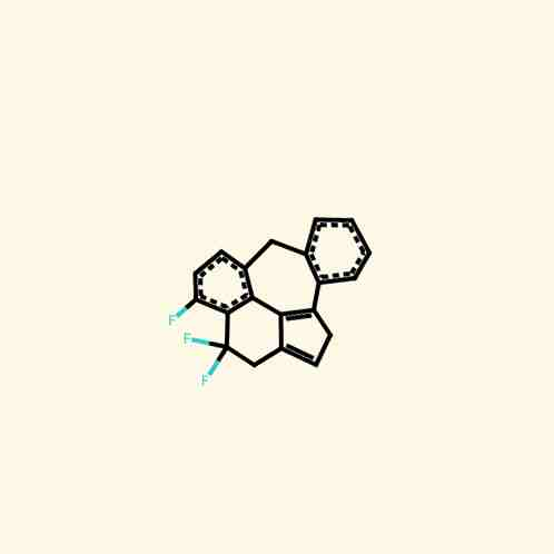 Fc1ccc2c3c1C(F)(F)CC1=CCC(=C13)c1ccccc1C2